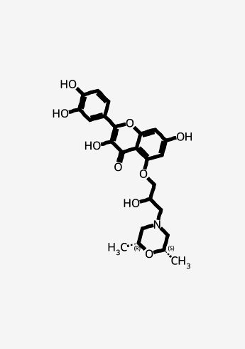 C[C@@H]1CN(CC(O)COc2cc(O)cc3oc(-c4ccc(O)c(O)c4)c(O)c(=O)c23)C[C@H](C)O1